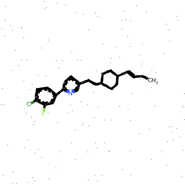 CCC=CC1CCC(CCc2ccc(-c3ccc(Cl)c(F)c3)nc2)CC1